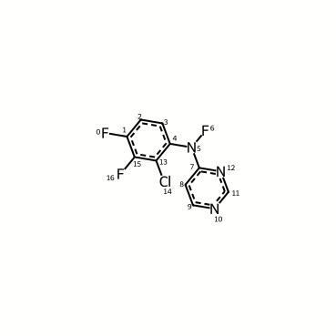 Fc1ccc(N(F)c2ccncn2)c(Cl)c1F